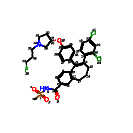 CS(=O)(=O)NC(=O)c1ccc2c(c1)CCCC(c1ccc(Cl)cc1Cl)=C2c1ccc(O[C@H]2CCN(CCCF)C2)cc1